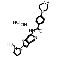 CN1CCC[C@@H]1c1cc2cnc(NC(=O)c3ccc(N4CCNCC4)cc3)cc2[nH]1.Cl.Cl